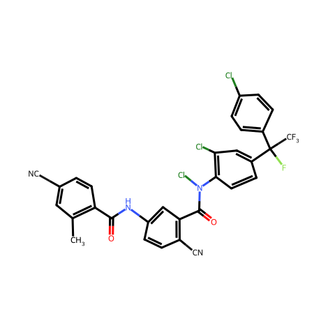 Cc1cc(C#N)ccc1C(=O)Nc1ccc(C#N)c(C(=O)N(Cl)c2ccc(C(F)(c3ccc(Cl)cc3)C(F)(F)F)cc2Cl)c1